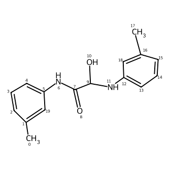 Cc1cccc(NC(=O)C(O)Nc2cccc(C)c2)c1